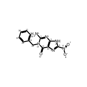 Nc1nc2[nH]c([N+](=O)[O-])nc2c(=O)n1Cc1ccccc1